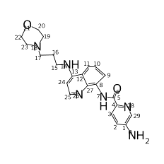 Nc1ccc(C(=O)Nc2cccc3c(NCCCN4CCOCC4)ccnc23)nc1